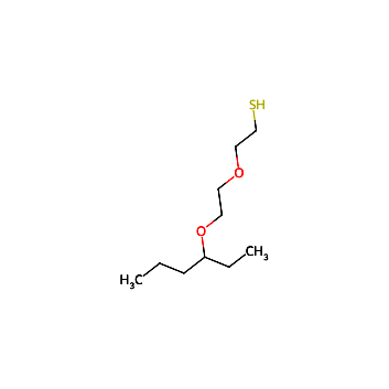 CCCC(CC)OCCOCCS